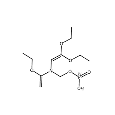 C=C(OCC)N(C=C(OCC)OCC)CO[PH](=O)O